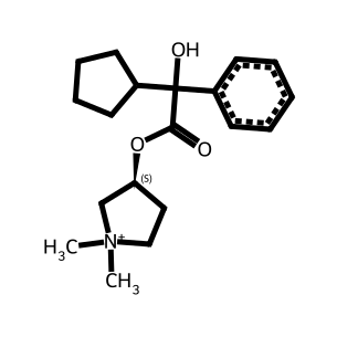 C[N+]1(C)CC[C@H](OC(=O)C(O)(c2ccccc2)C2CCCC2)C1